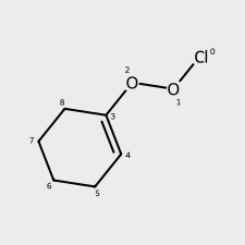 ClOOC1=CCCCC1